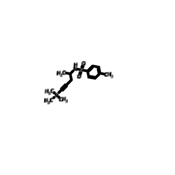 Cc1ccc(S(=O)(=O)NC(C)CC#C[Si](C)(C)C)cc1